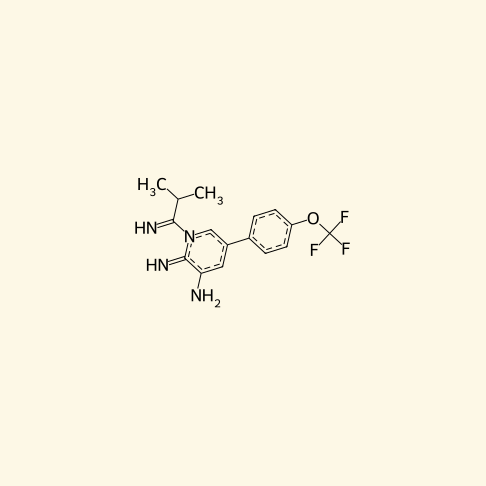 CC(C)C(=N)n1cc(-c2ccc(OC(F)(F)F)cc2)cc(N)c1=N